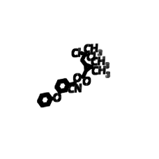 CC(Cl)(Cl)CC1C(C(=O)OC(C#N)c2cccc(Oc3ccccc3)c2)C1(C)C